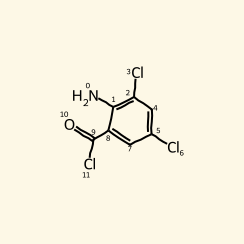 Nc1c(Cl)cc(Cl)cc1C(=O)Cl